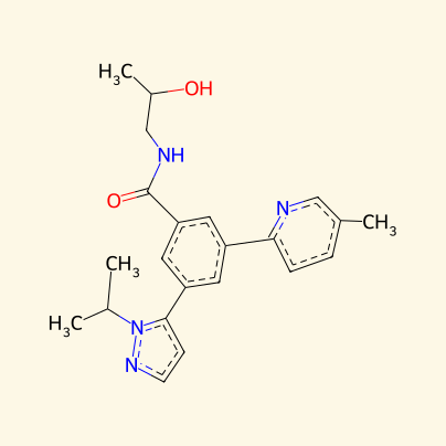 Cc1ccc(-c2cc(C(=O)NCC(C)O)cc(-c3ccnn3C(C)C)c2)nc1